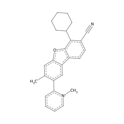 Cc1cc2oc3c(C4CCCCC4)c(C#N)ccc3c2cc1-c1cccc[n+]1C